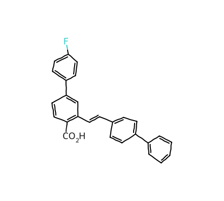 O=C(O)c1ccc(-c2ccc(F)cc2)cc1/C=C/c1ccc(-c2ccccc2)cc1